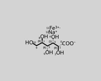 O=C([O-])[C@H](O)[C@@H](O)[C@H](O)[C@H](O)CO.[Fe+3].[Na+]